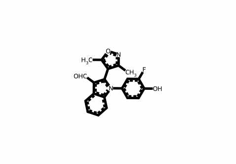 Cc1noc(C)c1-c1c(C=O)c2ccccc2n1-c1ccc(O)c(F)c1